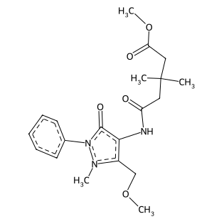 COCc1c(NC(=O)CC(C)(C)CC(=O)OC)c(=O)n(-c2ccccc2)n1C